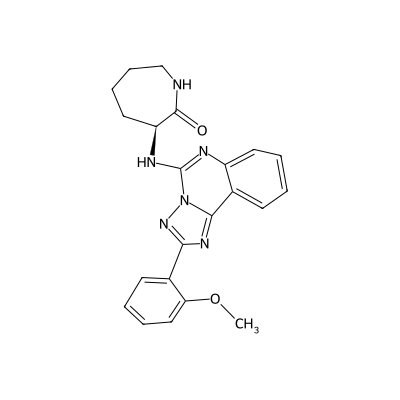 COc1ccccc1-c1nc2c3ccccc3nc(N[C@H]3CCCCNC3=O)n2n1